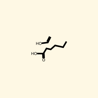 C=CO.CCCCCC(=O)O